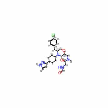 Cc1cc(C2CCC(N3CC(CN(C)C(=O)CNC=O)OCC3Cc3ccc(Cl)cc3)CC2)nn1C